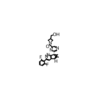 CC1(C)[C@H]2CC[C@]1(c1cncc(C(=O)N3CC(CO)C3)n1)c1nnc(-c3c(F)cccc3F)cc12